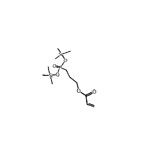 C=CC(=O)OCCCP(=O)(O[Si](C)(C)C)O[Si](C)(C)C